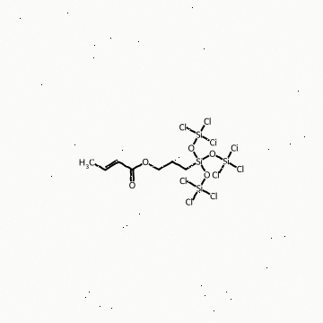 CC=CC(=O)OCCC[Si](O[Si](Cl)(Cl)Cl)(O[Si](Cl)(Cl)Cl)O[Si](Cl)(Cl)Cl